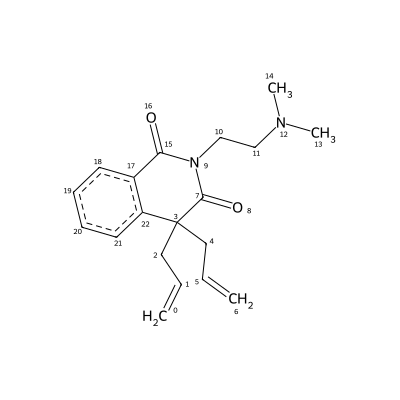 C=CCC1(CC=C)C(=O)N(CCN(C)C)C(=O)c2ccccc21